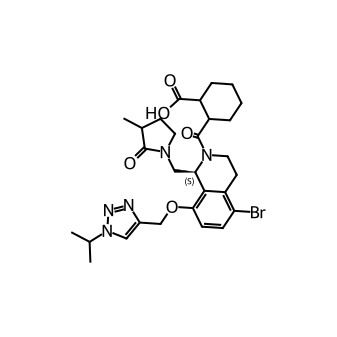 CC1CCN(C[C@@H]2c3c(OCc4cn(C(C)C)nn4)ccc(Br)c3CCN2C(=O)C2CCCCC2C(=O)O)C1=O